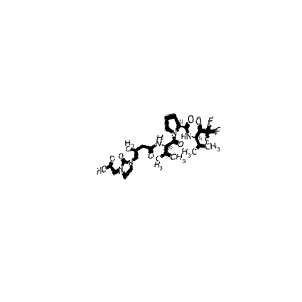 CC(CC(=O)N[C@H](C(=O)N1CCC[C@H]1C(=O)N[C@H](C(=O)C(F)(F)F)C(C)C)C(C)C)CN1CCN(CC(=O)O)C1=O